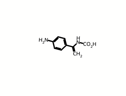 C=C(NC(=O)O)c1ccc(N)cc1